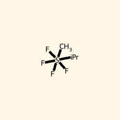 CC(C)S(C)(F)(F)(F)F